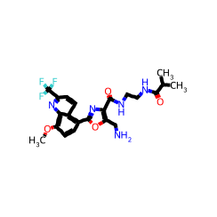 COc1ccc(-c2nc(C(=O)NCCNC(=O)C(C)C)c(CN)o2)c2ccc(C(F)(F)F)nc12